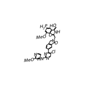 COc1cc(P)cc(/C(=C\O)NC(=O)CN2Cc3ccc(-c4nc(Nc5ccnc(OC)c5)ncc4Cl)cc3C2=O)c1